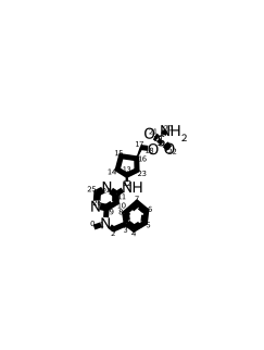 CN(Cc1ccccc1)c1cc(N[C@H]2CC[C@@H](COS(N)(=O)=O)C2)ncn1